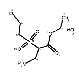 CCOC(=O)C(CN)S(=O)(=O)CCCl.Cl